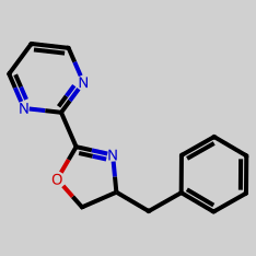 c1ccc(CC2COC(c3ncccn3)=N2)cc1